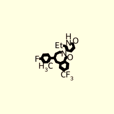 CCc1[nH]c(=O)ccc1N1CCC(c2ccc(F)cc2C)Cc2cc(C(F)(F)F)ccc2C1=O